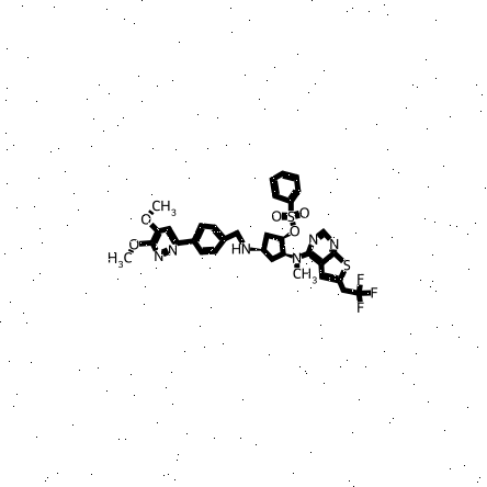 COc1cc(-c2ccc(CN[C@H]3C[C@@H](OS(=O)(=O)c4ccccc4)[C@@H](N(C)c4ncnc5sc(CC(F)(F)F)cc45)C3)cc2)nnc1OC